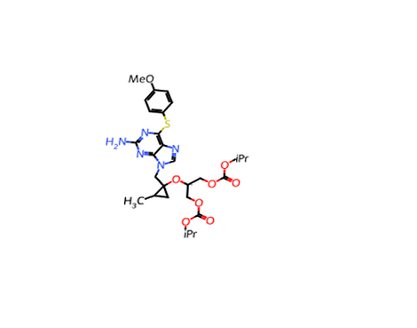 COc1ccc(Sc2nc(N)nc3c2ncn3CC2(O[C](COC(=O)OC(C)C)COC(=O)OC(C)C)CC2C)cc1